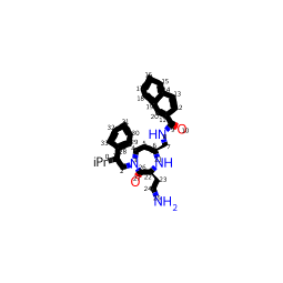 CC(C)C(CN1CC[C@@H](CNC(=O)c2ccc3ccccc3c2)N[C@@H](CCN)C1=O)c1ccccc1